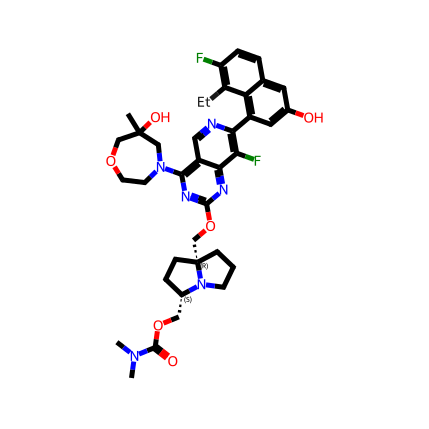 CCc1c(F)ccc2cc(O)cc(-c3ncc4c(N5CCOCC(C)(O)C5)nc(OC[C@]56CCCN5[C@H](COC(=O)N(C)C)CC6)nc4c3F)c12